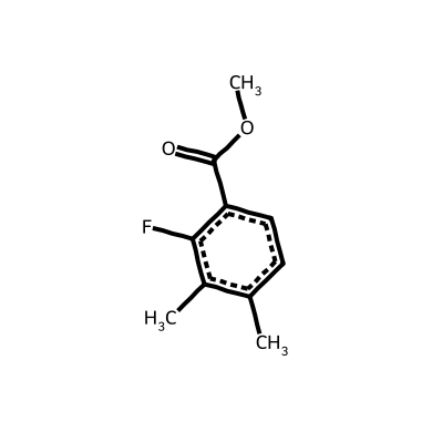 COC(=O)c1ccc(C)c(C)c1F